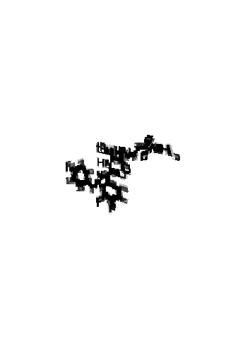 CC(C)(C)C(NC(=O)c1nn(Cc2ccc(F)cc2)c2c(F)c(F)ccc12)C(=O)NCCS(N)(=O)=O